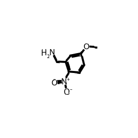 COc1ccc([N+](=O)[O-])c(CN)c1